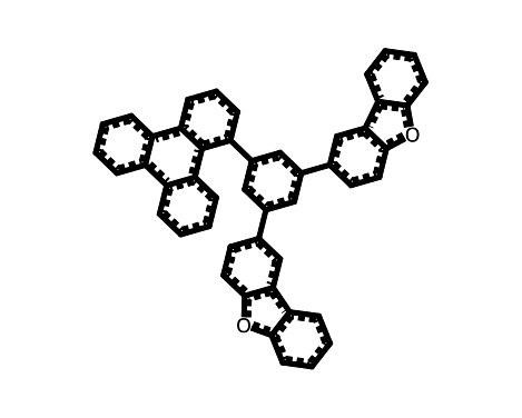 c1ccc2c(c1)oc1ccc(-c3cc(-c4ccc5oc6ccccc6c5c4)cc(-c4cccc5c6ccccc6c6ccccc6c45)c3)cc12